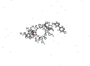 C=C[C@@]1(OC)[C@@H](CC)OC(=O)[C@H](C)C(=O)[C@H](C)[C@@H](OC2O[C@H](C)C[C@H](N(C)C)[C@H]2O)[C@@](C)(OC)C[C@@H](C)C(=O)[C@H](C)[C@H]1N(CO)CCCCn1cnc(-c2ccc(Cl)nc2)c1